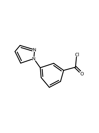 O=C(Cl)c1cccc(-n2cccn2)c1